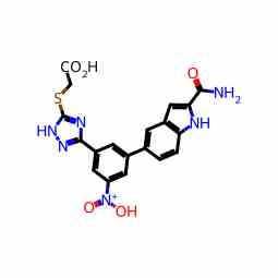 NC(=O)c1cc2cc(-c3cc(-c4n[nH]c(SCC(=O)O)n4)cc([N+](=O)O)c3)ccc2[nH]1